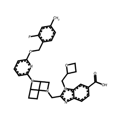 Cc1ccc(COc2cccc(N3C4CCC45C3CN5Cc3nc4ccc(C(=O)O)cc4n3CC3CCO3)n2)c(F)c1